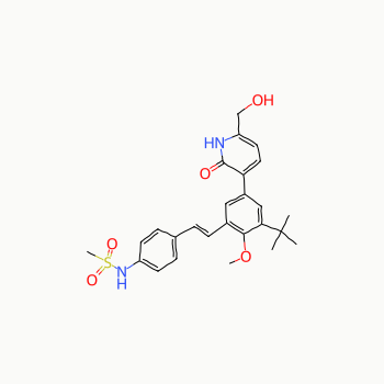 COc1c(C=Cc2ccc(NS(C)(=O)=O)cc2)cc(-c2ccc(CO)[nH]c2=O)cc1C(C)(C)C